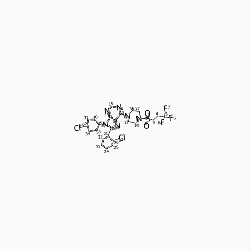 O=S(=O)(CCC(F)(F)F)N1CCN(c2ncnc3c2nc(-c2ccccc2Cl)n3-c2ccc(Cl)cc2)CC1